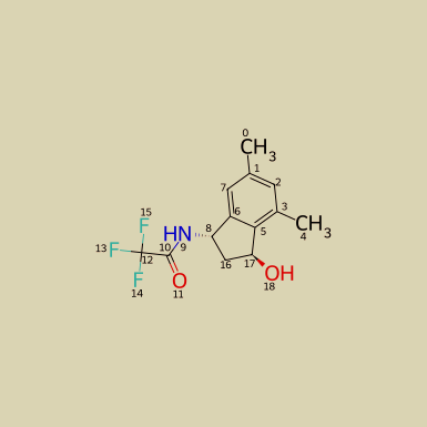 Cc1cc(C)c2c(c1)[C@@H](NC(=O)C(F)(F)F)C[C@@H]2O